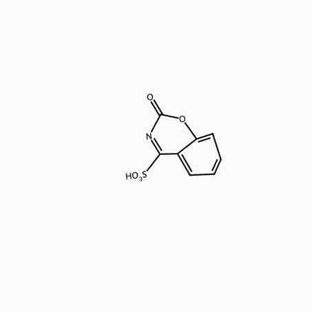 O=c1nc(S(=O)(=O)O)c2ccccc2o1